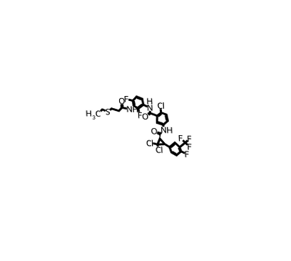 CCSCCC(=O)Nc1c(F)ccc(NC(=O)c2cc(NC(=O)[C@H]3C(c4ccc(F)c(C(F)(F)F)c4)C3(Cl)Cl)ccc2Cl)c1F